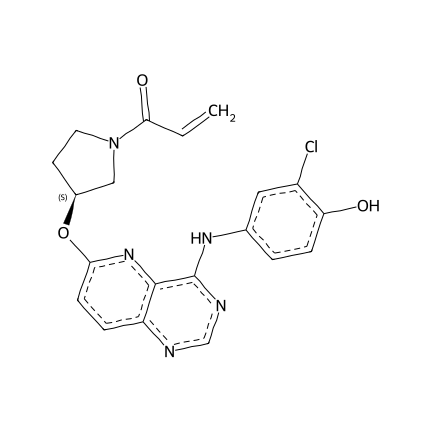 C=CC(=O)N1CC[C@H](Oc2ccc3ncnc(Nc4ccc(O)c(Cl)c4)c3n2)C1